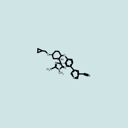 CN1C(=O)[C@]2(N=C1N)c1cc(-c3cncc(C#N)c3)ccc1OC1CC[C@H](OCC3CC3)C[C@@H]12